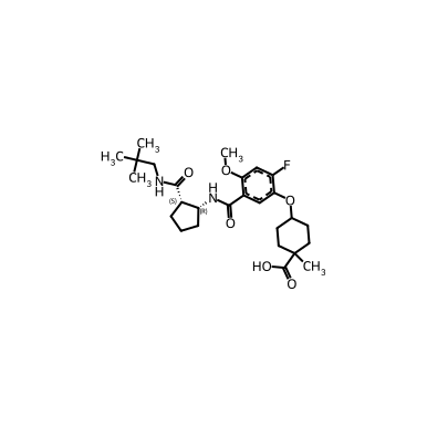 COc1cc(F)c(OC2CCC(C)(C(=O)O)CC2)cc1C(=O)N[C@@H]1CCC[C@@H]1C(=O)NCC(C)(C)C